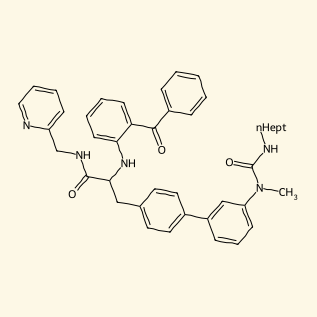 CCCCCCCNC(=O)N(C)c1cccc(-c2ccc(CC(Nc3ccccc3C(=O)c3ccccc3)C(=O)NCc3ccccn3)cc2)c1